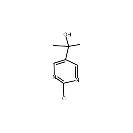 CC(C)(O)c1cnc(Cl)nc1